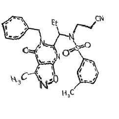 CCC(c1nc2onc(C)c2c(=O)n1Cc1ccccc1)N(CCC#N)S(=O)(=O)c1cccc(C)c1